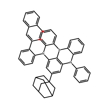 c1ccc(N2c3ccccc3B3c4ccccc4N(c4ccccc4-c4ccc5ccccc5c4)c4cc(C56CC7CC(CC(C7)C5)C6)cc2c43)cc1